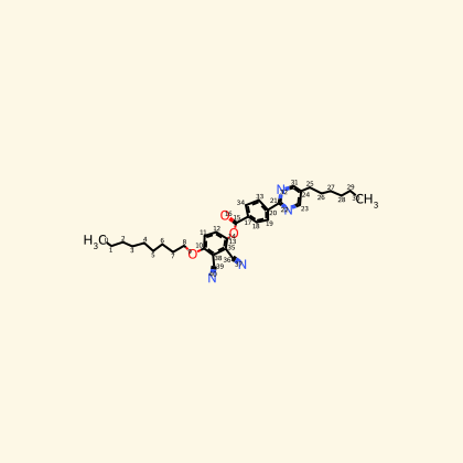 CCCCCCCCCOc1ccc(OC(=O)c2ccc(-c3ncc(CCCCCC)cn3)cc2)c(C#N)c1C#N